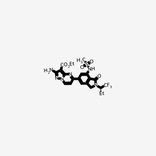 CCOC(=O)c1c(N)nn2ccc(-c3cc4c(c(NS(C)(=O)=O)c3)C(=O)N([C@@H](CC)C(F)(F)F)C4)nc12